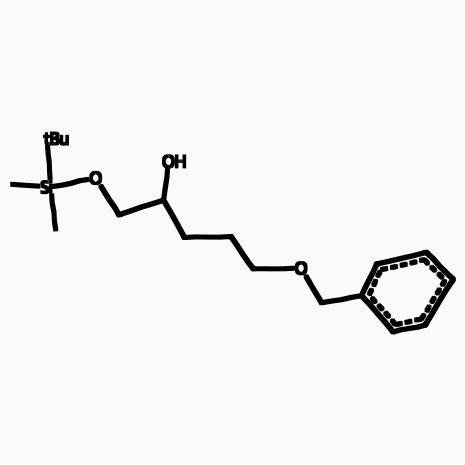 CC(C)(C)[Si](C)(C)OCC(O)CCCOCc1ccccc1